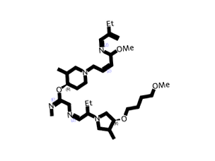 C=C(/C=N\C(/C=C\CN1CC[C@@H](O/C(C/N=C\C(CC)N2CC(C)[C@@H](OCCCCOC)C2)=N/C)C(C)C1)OC)CC